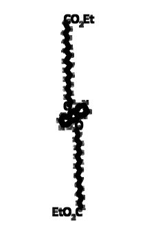 CCOC(=O)CCCCCCCCCCCCCCCCCCOc1c2ccccc2c(OCCCCCCCCCCCCCCCCCCC(=O)OCC)c2ccccc12